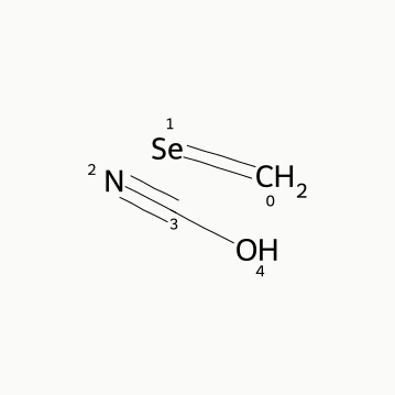 C=[Se].N#CO